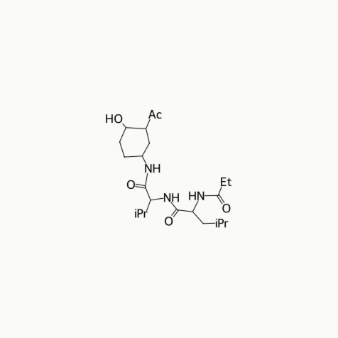 CCC(=O)NC(CC(C)C)C(=O)NC(C(=O)NC1CCC(O)C(C(C)=O)C1)C(C)C